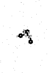 O=C(NOCc1ccccc1)c1nccc2ncn(Cc3ccc(F)cc3)c12